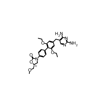 CCOc1cc(Cc2cnc(N)nc2N)cc(OCC)c1-c1ccc(N2C[C@@H](COC)OC2=O)cc1